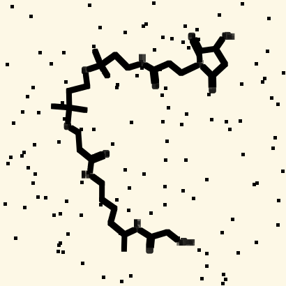 CCCCCCCCCCCC(=O)NC(C)CCCCNC(=O)CCOC(C)(C)CCOC(C)(C)CCNC(=O)CCN1C(=O)CC(C(C)(C)C)C1=O